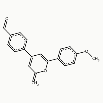 C=C1C=C(c2ccc(C=O)cc2)C=C(c2ccc(OC)cc2)O1